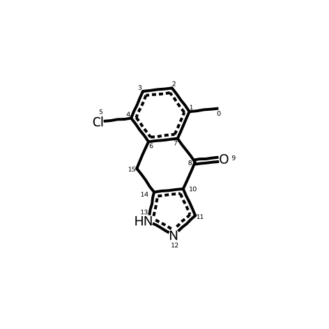 Cc1ccc(Cl)c2c1C(=O)c1cn[nH]c1C2